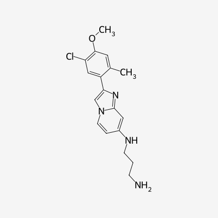 COc1cc(C)c(-c2cn3ccc(NCCCN)cc3n2)cc1Cl